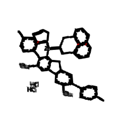 Cc1ccc(-c2cc3c(cc2C(C)(C)C)-c2cc(C(C)(C)C)c(-c4ccc(C)cc4)[c]([Zr]([C]4=CC=CC4)=[C](Cc4ccccc4)Cc4ccccc4)c2C3)cc1.Cl.Cl